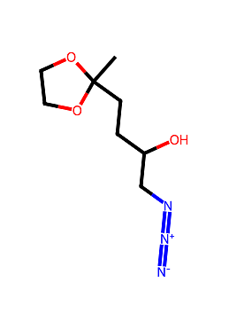 CC1(CCC(O)CN=[N+]=[N-])OCCO1